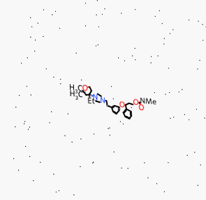 CCC1(N2CCN(CCc3cccc(OC(CCOC(=O)NC)c4ccccc4)c3)CC2)CCOC(C)(C)C1